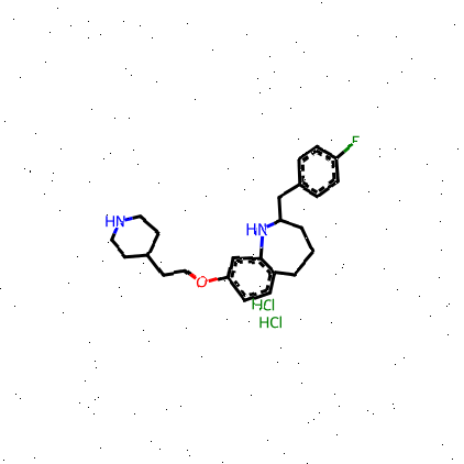 Cl.Cl.Fc1ccc(CC2CCCc3ccc(OCCC4CCNCC4)cc3N2)cc1